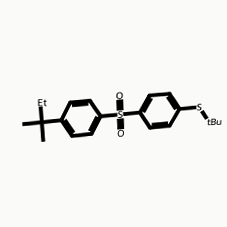 CCC(C)(C)c1ccc(S(=O)(=O)c2ccc(SC(C)(C)C)cc2)cc1